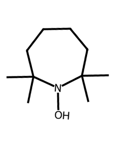 CC1(C)CCCCC(C)(C)N1O